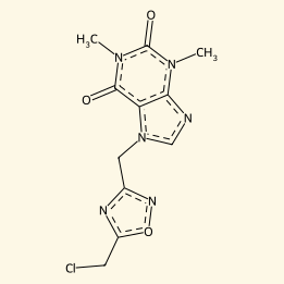 Cn1c(=O)c2c(ncn2Cc2noc(CCl)n2)n(C)c1=O